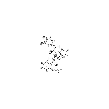 O=C(Nc1ccc(F)c(F)c1)c1c(NC(=O)C2CCCCC2C(=O)O)sc2c1CCC2